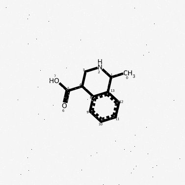 CC1NCC(C(=O)O)c2ccccc21